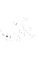 N[C@@H]1C[C@H](N)CN(c2nc(Nc3ccc(NC(=O)c4cc(F)ccc4O)c(O)c3)nc(N3C[C@H](N)C[C@H](N)C3)n2)C1